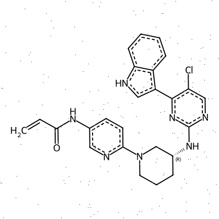 C=CC(=O)Nc1ccc(N2CCC[C@@H](Nc3ncc(Cl)c(-c4c[nH]c5ccccc45)n3)C2)nc1